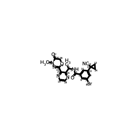 CC(NC(=O)c1cc(Br)cc(C2(C#N)CC2)c1)c1nccnc1C1=NN(C)C(=O)CO1